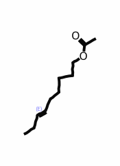 CC/C=C/CCCCCOC(C)=O